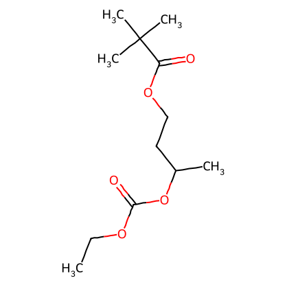 CCOC(=O)OC(C)CCOC(=O)C(C)(C)C